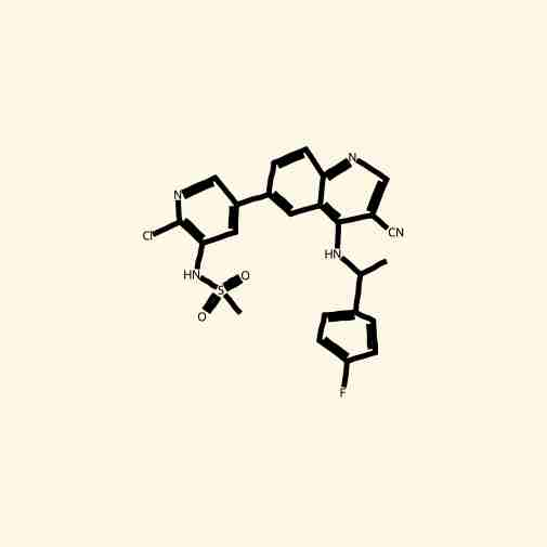 CC(Nc1c(C#N)cnc2ccc(-c3cnc(Cl)c(NS(C)(=O)=O)c3)cc12)c1ccc(F)cc1